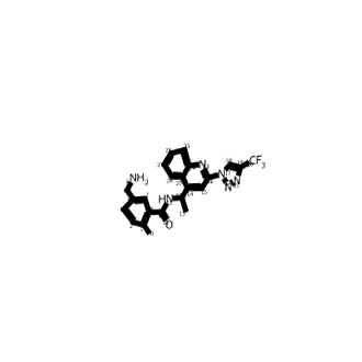 Cc1ccc(CN)cc1C(=O)NC(C)c1cc(-n2cc(C(F)(F)F)nn2)nc2ccccc12